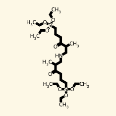 CCO[Si](CCCC(=O)C(C)CNCC(C)C(=O)CCC[Si](OCC)(OCC)OCC)(OCC)OCC